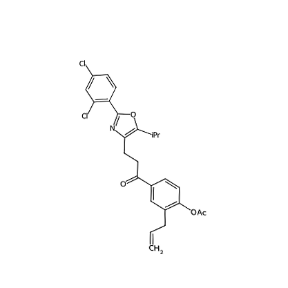 C=CCc1cc(C(=O)CCc2nc(-c3ccc(Cl)cc3Cl)oc2C(C)C)ccc1OC(C)=O